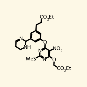 CCOC(=O)CCc1cc(Oc2nc(SC)nc(OCC(=O)OCC)c2[N+](=O)[O-])cc(C2N=CCCN2)c1